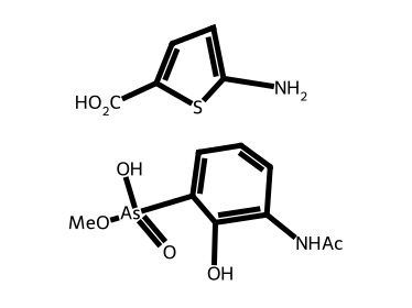 CO[As](=O)(O)c1cccc(NC(C)=O)c1O.Nc1ccc(C(=O)O)s1